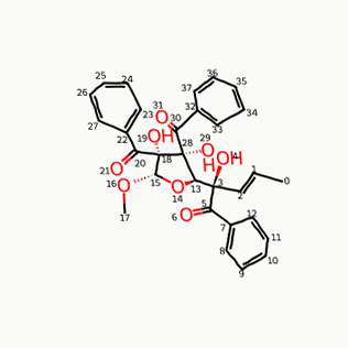 CC=C[C@](O)(C(=O)c1ccccc1)[C@H]1O[C@H](OC)[C@@](O)(C(=O)c2ccccc2)[C@@]1(O)C(=O)c1ccccc1